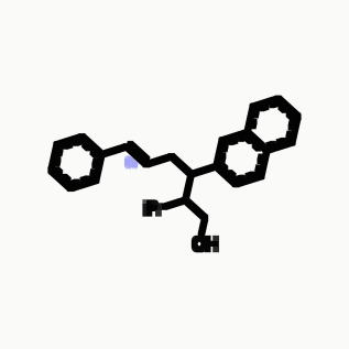 CC(C)C(CO)C(C/C=C/c1ccccc1)c1ccc2ccccc2c1